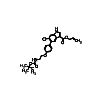 C=CCOC(=O)c1c[nH]c2cc(Cl)c(-c3ccc(OCCNC(=O)OC(C)(C)C)cc3)cc12